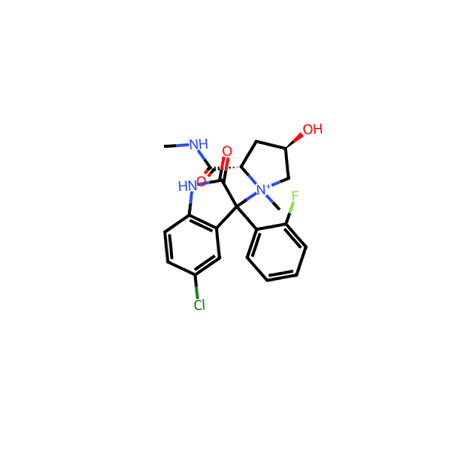 CNC(=O)[C@@H]1C[C@@H](O)C[N+]1(C)C1(c2ccccc2F)C(=O)Nc2ccc(Cl)cc21